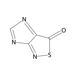 O=C1SN=C2N=CN=C12